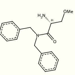 COC[C@@H](N)C(=O)N(Cc1ccccc1)Cc1ccccc1